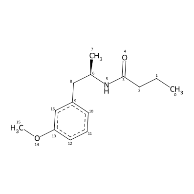 CCCC(=O)N[C@H](C)Cc1cccc(OC)c1